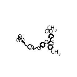 CC(=O)Oc1ccc(-c2sc3cc(C)ccc3c2Oc2ccc(OCCN3CCC(CCCO[N+](=O)[O-])CC3)cc2)cc1